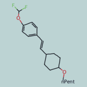 CCCCCOC1CCC(C=Cc2ccc(OC(F)F)cc2)CC1